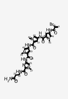 C=C(Br)C(=O)Nc1cc(C(=O)Nc2cc(C(=O)Nc3cc(C(=O)Nc4cn(C)c(C(=O)NCCC(N)=O)n4)n(C)c3)n(C)c2)n(C)c1